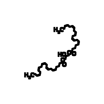 CC/C=C\C/C=C\C/C=C\C/C=C\C/C=C\CCCC(=O)OCC(O)COC(=O)CCC/C=C\C/C=C\C/C=C\C/C=C\C/C=C\CC